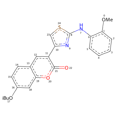 COc1ccccc1Nc1nc(-c2cc3ccc(OCC(C)C)cc3oc2=O)cs1